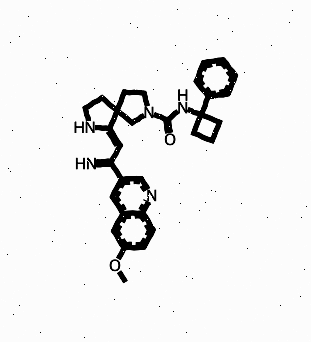 COc1ccc2ncc(C(=N)/C=C3\NCCC34CCN(C(=O)NC3(c5ccccc5)CCC3)C4)cc2c1